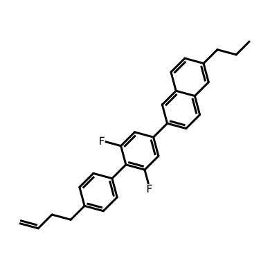 C=CCCc1ccc(-c2c(F)cc(-c3ccc4cc(CCC)ccc4c3)cc2F)cc1